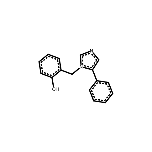 Oc1ccccc1Cn1cncc1-c1ccccc1